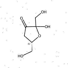 O=C1C[C@@H](CO)OC1(O)CO